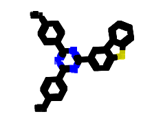 CC(C)(C)c1ccc(-c2nc(-c3ccc(C(C)(C)C)cc3)nc(-c3ccc4sc5ccccc5c4c3)n2)cc1